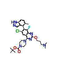 Cc1ccc2[nH]ncc2c1-c1c(Cl)cc2c(N3CCN(C(=O)OC(C)(C)C)CC3)nc(OCCCN(C)C)nc2c1F